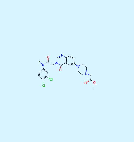 COC(=O)CN1CCN(c2ccc3ncn(CC(=O)N(C)c4ccc(Cl)c(Cl)c4)c(=O)c3c2)CC1